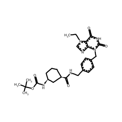 CCn1cnc2c1c(=O)[nH]c(=O)n2Cc1ccc(CNC(=O)[C@@H]2CCC[C@H](NC(=O)OC(C)(C)C)C2)cc1